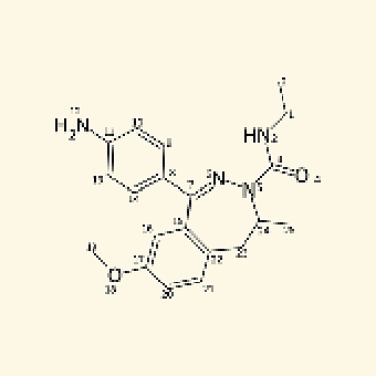 CCNC(=O)N1N=C(c2ccc(N)cc2)c2cc(OC)ccc2CC1C